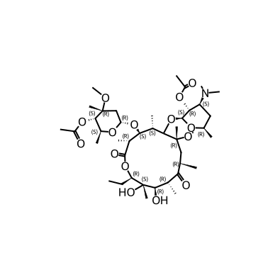 CC[C@H]1OC(=O)[C@H](C)[C@@H](O[C@H]2C[C@@](C)(OC)[C@@H](OC(C)=O)[C@H](C)O2)[C@H](C)C(O[C@@H]2O[C@H](C)C[C@H](N(C)C)[C@H]2OC(C)=O)[C@](C)(OC)C[C@@H](C)C(=O)[C@H](C)[C@@H](O)[C@]1(C)O